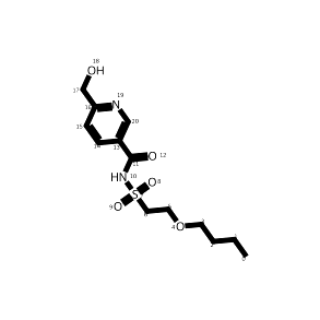 CCCCOCCS(=O)(=O)NC(=O)c1ccc(CO)nc1